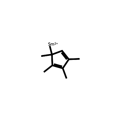 CC1=C[C](C)([Sm+2])C(C)=C1C